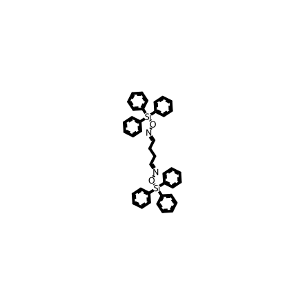 C(CCC=NO[Si](c1ccccc1)(c1ccccc1)c1ccccc1)=NO[Si](c1ccccc1)(c1ccccc1)c1ccccc1